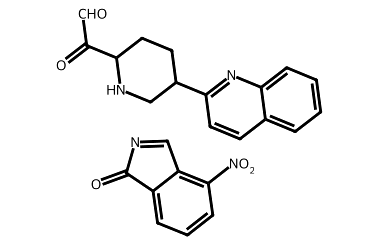 O=C1N=Cc2c1cccc2[N+](=O)[O-].O=CC(=O)C1CCC(c2ccc3ccccc3n2)CN1